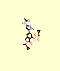 CC(=O)Nc1cc(-c2cc3c(c(NS(=O)(=O)CC4CC4)c2)C(=O)N(C(C)C2CC2)C3)n(C)n1